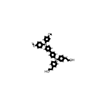 COc1ccc(N(c2ccc(OC)cc2)c2ccc(-c3ccc(N(c4ccc(CCO)cc4)c4ccc(CCO)cc4)cc3)cc2)cc1